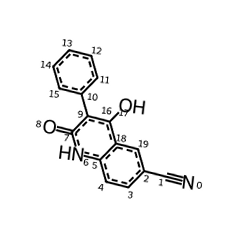 N#Cc1ccc2[nH]c(=O)c(-c3ccccc3)c(O)c2c1